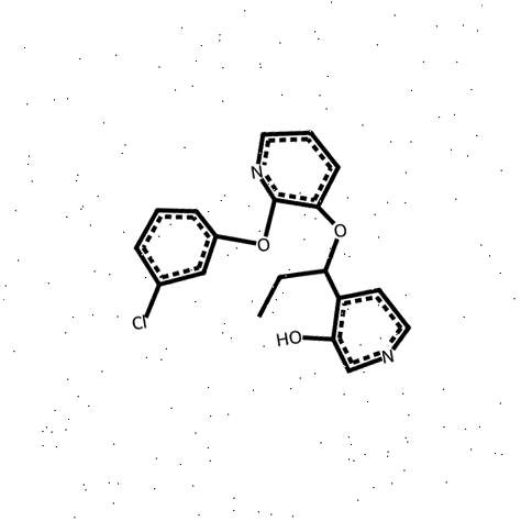 CCC(Oc1cccnc1Oc1cccc(Cl)c1)c1ccncc1O